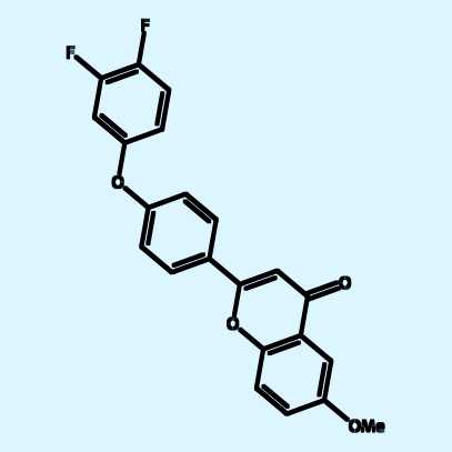 COc1ccc2oc(-c3ccc(Oc4ccc(F)c(F)c4)cc3)cc(=O)c2c1